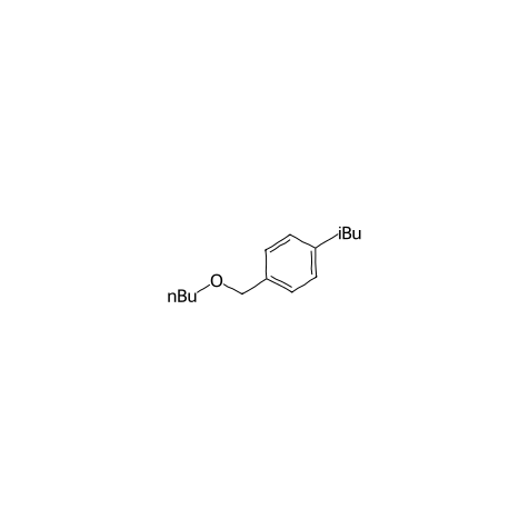 CCCCOCc1ccc(C(C)CC)cc1